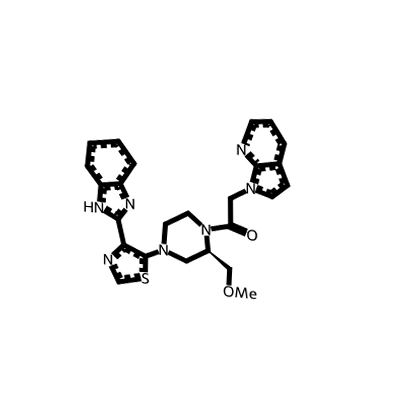 COC[C@H]1CN(c2scnc2-c2nc3ccccc3[nH]2)CCN1C(=O)Cn1ccc2cccnc21